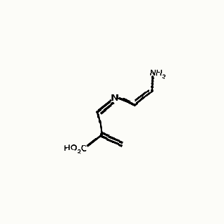 C=C(/C=N\C=C/N)C(=O)O